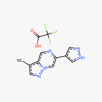 N#Cc1cnn2cc(-c3cn[nH]c3)ncc12.O=C(O)C(F)(F)F